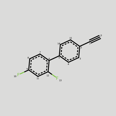 C#Cc1ccc(-c2ccc(F)cc2F)cc1